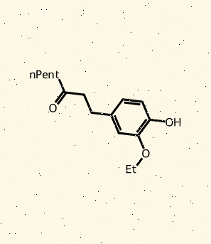 CCCCCC(=O)CCc1ccc(O)c(OCC)c1